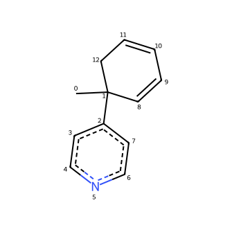 CC1(c2ccncc2)C=CC=CC1